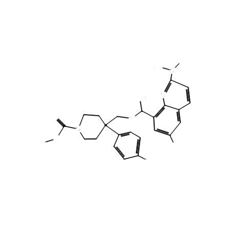 Cc1cc(C(C)OCC2(c3ccc(F)cc3)CCN(C(=O)OC(C)(C)C)CC2)c2nc(N(C)C)ccc2c1